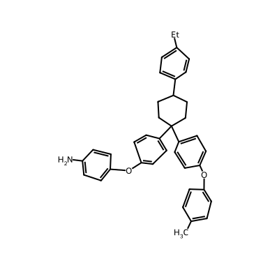 CCc1ccc(C2CCC(c3ccc(Oc4ccc(C)cc4)cc3)(c3ccc(Oc4ccc(N)cc4)cc3)CC2)cc1